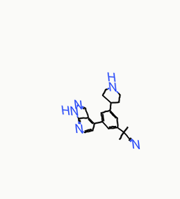 CC(C)(C#N)c1cc(-c2ccnc3[nH]ncc23)cc(C2CCNCC2)c1